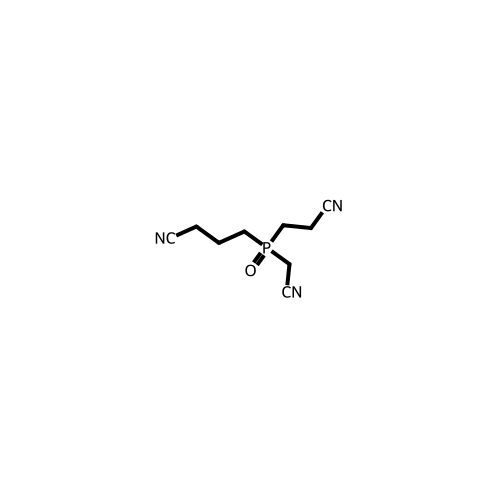 N#CCCCP(=O)(CC#N)CCC#N